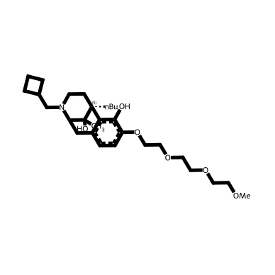 CCCC[C@]12CCN(CC3CCC3)C(Cc3ccc(OCCOCCOCCOC)c(O)c31)C2(C)O